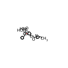 CCc1ccc(C(=O)COc2ccc(CC3(C(=O)OCc4ccccc4)SC(O)NC3=O)cc2)nc1